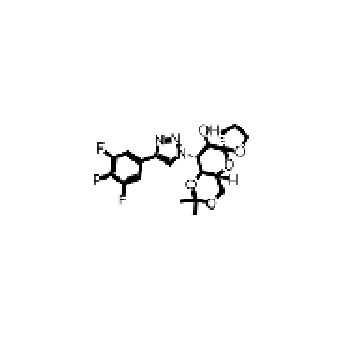 CC1(C)OC[C@H]2O[C@@]3(CCCO3)[C@H](O)[C@@H](n3cc(-c4cc(F)c(F)c(F)c4)nn3)C2O1